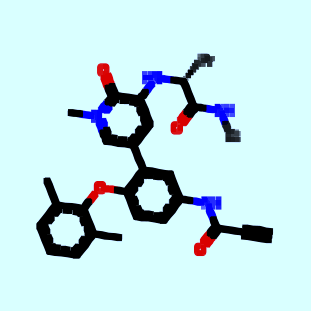 C#CC(=O)Nc1ccc(Oc2c(C)cccc2C)c(-c2cc(N[C@@H](C(=O)NCC)C(C)C)c(=O)n(C)c2)c1